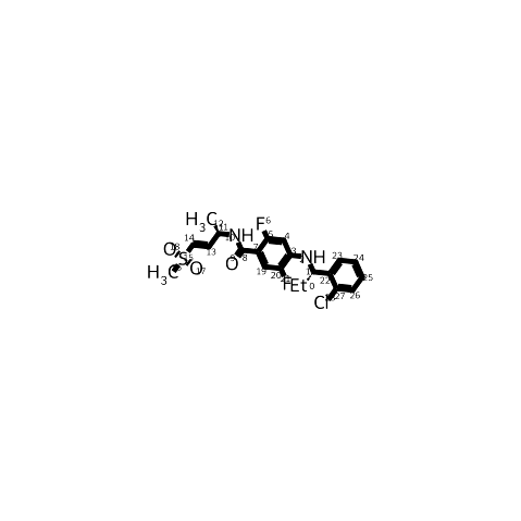 CC[C@H](Nc1cc(F)c(C(=O)N[C@H](C)/C=C/S(C)(=O)=O)cc1F)c1ccccc1Cl